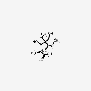 C=CC(=O)O.COC(C)C(CO)(CO)CO